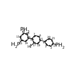 Pc1ccc(-c2ccc(-c3cc(P)cc(P)c3)c(I)c2)cc1